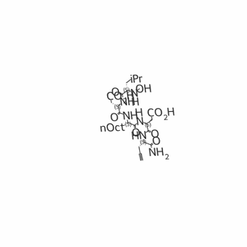 C#CC[C@H](NC(=O)[C@H](CC(=O)O)NC(=O)[C@H](CCCCCCCC)NC(=O)[C@H](CC(=O)O)NC(=O)[C@H](CC(C)C)NO)C(N)=O